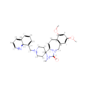 COc1cc2c(c(OC)c1)CC=C1N(C2)C(=O)N(C)C12CCN(Cc1cccc3cccnc13)CC2